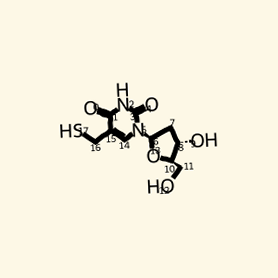 O=c1[nH]c(=O)n([C@H]2C[C@H](O)[C@@H](CO)O2)cc1CS